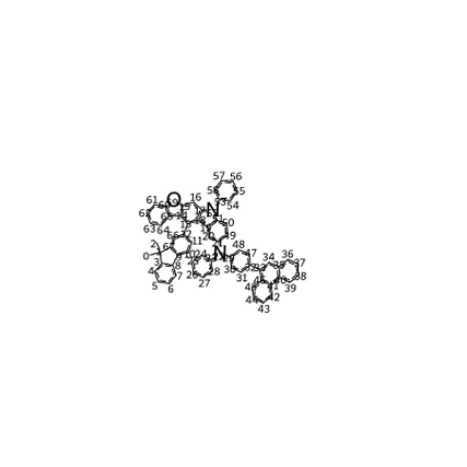 CC1(C)c2ccccc2-c2ccc(-c3c4c(cc5c3c3cc(N(c6ccccc6)c6ccc(-c7cc8ccccc8c8ccccc78)cc6)ccc3n5-c3ccccc3)oc3ccccc34)cc21